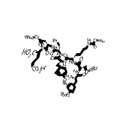 CC(C)C[C@H](NC(=O)[C@H](Cc1ccc(OC(C)(C)C)cc1)NC(=O)[C@H](CCCCNC(=O)OC(C)(C)C)NC(=O)[C@H](COC(C)(C)C)NC(=O)[C@@H](N)Cc1ccc(OC(C)(C)C)cc1)C(=O)N[C@@H](CC(=O)OC(C)(C)C)C(=O)N[C@@H](CCC(=O)O)C(=O)O